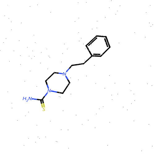 NC(=S)N1CCN(CCc2ccccc2)CC1